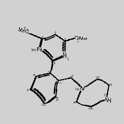 COc1cc(OC)nc(-c2ccccc2CN2CCNCC2)n1